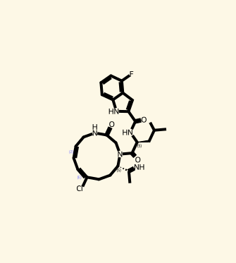 CC(=N)[C@@H]1CC/C(Cl)=C\C=C/CNC(=O)CN1C(=O)[C@H](CC(C)C)NC(=O)c1cc2c(F)cccc2[nH]1